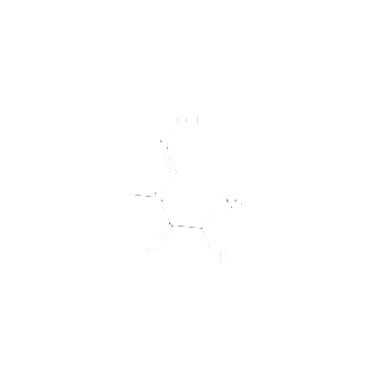 CCCCC(SC)C(=O)N(C)C=NO